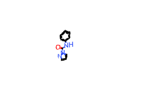 O=C(Nc1ccccc1)n1cccn1